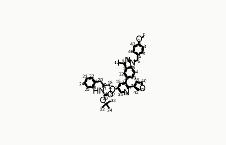 COc1ccc(Cn2nc(I)c3cc(-c4cc(OC[C@H](Cc5ccccc5)NC(=O)OC(C)(C)C)cnc4-c4ccoc4)ccc32)cc1